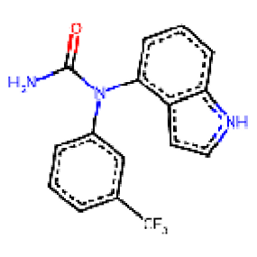 NC(=O)N(c1cccc(C(F)(F)F)c1)c1cccc2[nH]ccc12